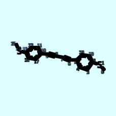 CSc1ccc(C#CC#Cc2ccc(SC)cc2)cc1